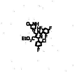 CCOC(=O)C1=C(CN2CCNC(=O)C2)NC(c2c(F)cc(F)cc2F)=NC1c1ccc(F)cc1Cl